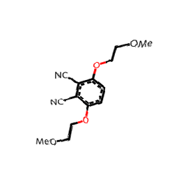 COCCOc1ccc(OCCOC)c(C#N)c1C#N